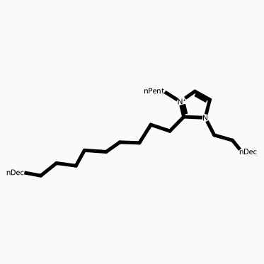 CCCCCCCCCCCCCCCCCCCc1n(CCCCCCCCCCCC)cc[n+]1CCCCC